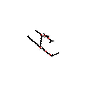 CCCCCCCC/C=C\CCCCCCCCCCCCOC(=O)C(CCCCCCCCCC/C=C\CCCCCCCC)CCCCCCCCCCCCCCCC(C)C.O=C(O)CCCCC(=O)OCC(O)CO